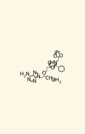 CC(C)OC(=O)CNP(OS(=O)CCOC(C)Cn1cnc2c(N)ncnc21)c1ccccc1.O